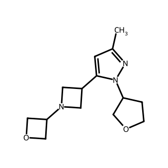 Cc1cc(C2CN(C3COC3)C2)n(C2CCOC2)n1